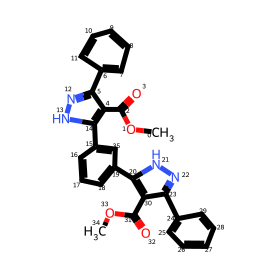 COC(=O)c1c(-c2ccccc2)n[nH]c1-c1cccc(-c2[nH]nc(-c3ccccc3)c2C(=O)OC)c1